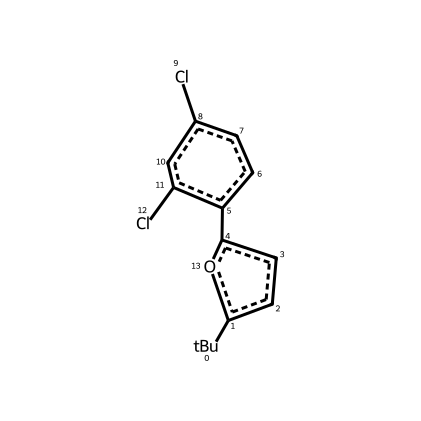 CC(C)(C)c1ccc(-c2ccc(Cl)cc2Cl)o1